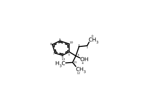 CCCC(O)(c1ccccc1)C(C)C